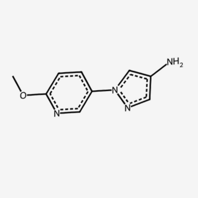 COc1ccc(-n2cc(N)cn2)cn1